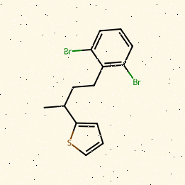 CC(CCc1c(Br)cccc1Br)c1cccs1